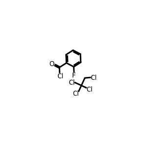 ClCC(Cl)(Cl)Cl.O=C(Cl)c1ccccc1F